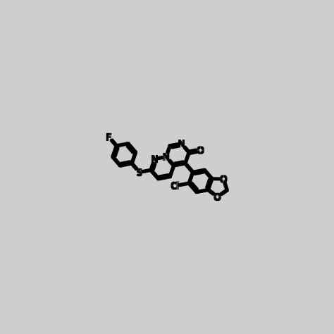 O=c1ncn2nc(Sc3ccc(F)cc3)ccc2c1-c1cc2c(cc1Cl)OCO2